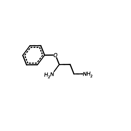 NCCC(N)Oc1ccccc1